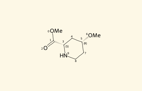 COC(=O)[C@@H]1C[C@H](OC)CCN1